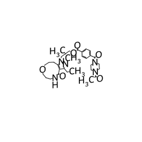 CCc1nn(CC(C)(C)COC(=O)c2ccc(C(=O)N3CCN(C(C)=O)CC3)cc2)c2c1C(=O)NCCCOCCC2